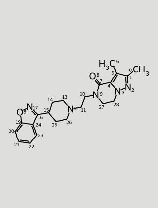 Cc1nn2c(c1C)C(=O)N(CCN1CCC(c3noc4ccccc34)CC1)CC2